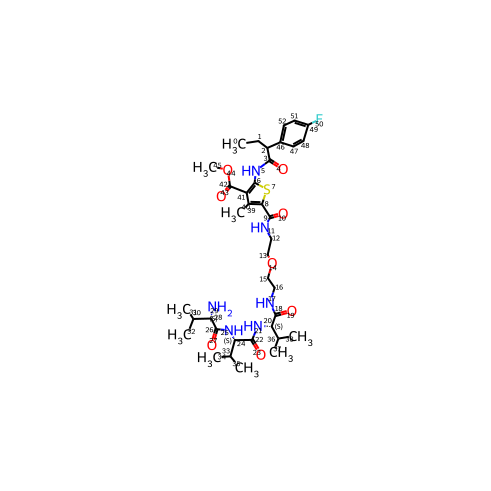 CCC(C(=O)Nc1sc(C(=O)NCCOCCNC(=O)[C@@H](NC(=O)[C@@H](NC(=O)[C@@H](N)C(C)C)C(C)C)C(C)C)c(C)c1C(=O)OC)c1ccc(F)cc1